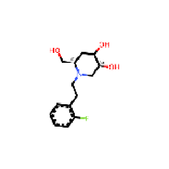 OC[C@H]1CC(O)[C@@H](O)CN1CCc1ccccc1F